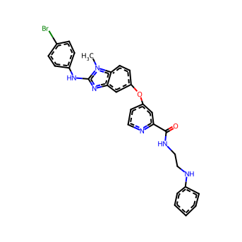 Cn1c(Nc2ccc(Br)cc2)nc2cc(Oc3ccnc(C(=O)NCCNc4ccccc4)c3)ccc21